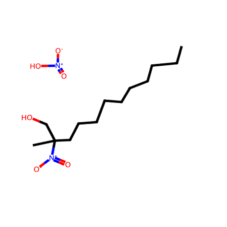 CCCCCCCCCCC(C)(CO)[N+](=O)[O-].O=[N+]([O-])O